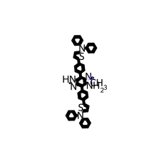 C/C=N\c1c(N)c(-c2ccc(-c3ccc(N(c4ccccc4)c4ccccc4)s3)cc2)c2nc[nH]c2c1-c1ccc(-c2ccc(N(c3ccccc3)c3ccccc3)s2)cc1